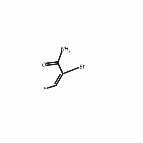 CC/C(=C/F)C(N)=O